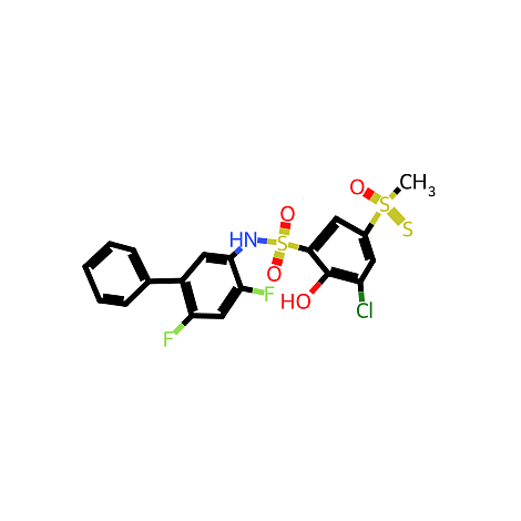 CS(=O)(=S)c1cc(Cl)c(O)c(S(=O)(=O)Nc2cc(-c3ccccc3)c(F)cc2F)c1